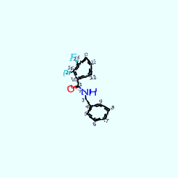 O=C(NCc1cc[c]cc1)c1cccc(F)c1F